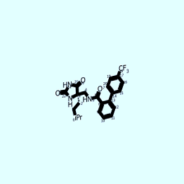 CC(C)CC[C@]1(CNC(=O)c2ccccc2-c2ccc(C(F)(F)F)cc2)NC(=O)NC1=O